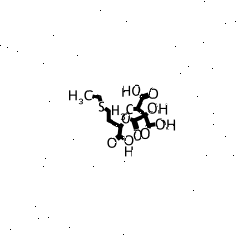 CCSCCC(OC(=O)C(O)(C(=O)O)C(C)C(=O)O)C(=O)O